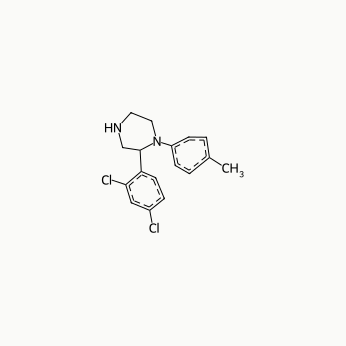 Cc1ccc(N2CCNCC2c2ccc(Cl)cc2Cl)cc1